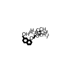 CC(C)(C)[Si](C)(C)OCCOc1cccc2c1C=C(CO)CC2